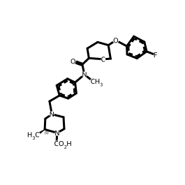 C[C@H]1CN(Cc2ccc(N(C)C(=O)C3CCC(Oc4ccc(F)cc4)CC3)cc2)CCN1C(=O)O